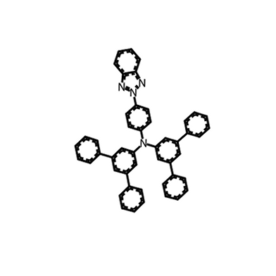 c1ccc(-c2cc(-c3ccccc3)cc(N(c3ccc(-n4nc5ccccc5n4)cc3)c3cc(-c4ccccc4)cc(-c4ccccc4)c3)c2)cc1